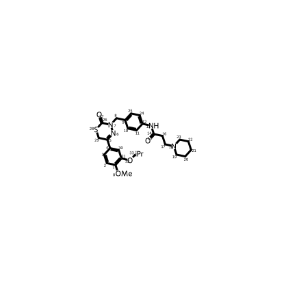 COc1ccc(C2=NN(Cc3ccc(NC(=O)CCN4CCCCC4)cc3)C(=O)SC2)cc1OC(C)C